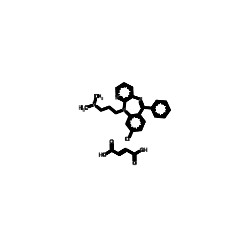 CN(C)CCCN1c2cc(Cl)ccc2C(c2ccccc2)=Nc2cccnc21.O=C(O)C=CC(=O)O